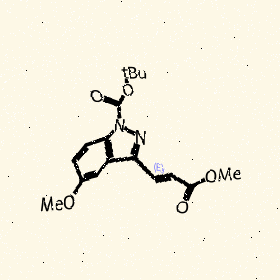 COC(=O)/C=C/c1nn(C(=O)OC(C)(C)C)c2ccc(OC)cc12